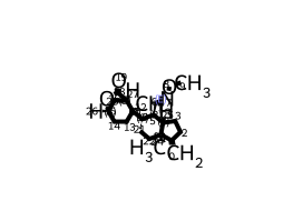 C=C1CC[C@H]2[C@H](/C=N/OC)[C@@H]([C@@]3(C)CC[C@H]4C[C@@H]3C(=O)O4)CC[C@]12C